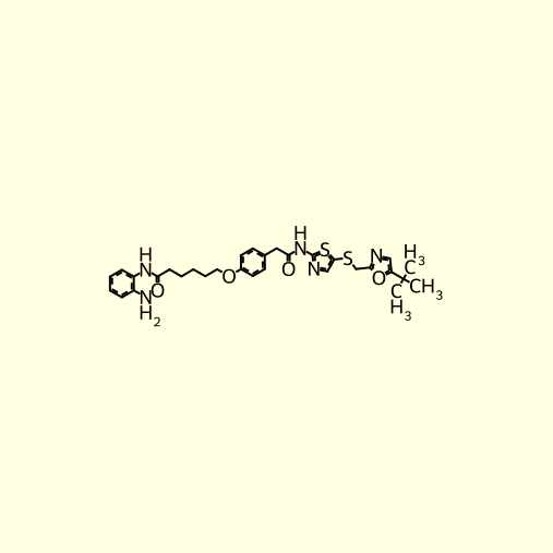 CC(C)(C)c1cnc(CSc2cnc(NC(=O)Cc3ccc(OCCCCCC(=O)Nc4ccccc4N)cc3)s2)o1